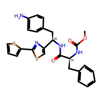 COC(=O)N[C@@H](Cc1ccccc1)C(=O)N[C@H](Cc1ccc(N)cc1)c1csc(-c2cccs2)n1